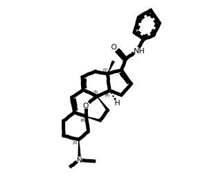 CN(C)[C@H]1CCC2=CC3=CC[C@]4(C)C(C(=O)Nc5ccccc5)=CC[C@H]4[C@@]34CC[C@]2(C1)O4